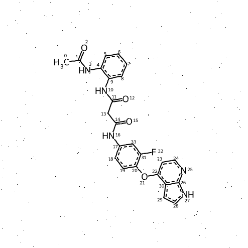 CC(=O)Nc1ccccc1NC(=O)CC(=O)Nc1ccc(Oc2ccnc3[nH]ccc23)c(F)c1